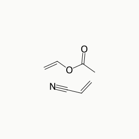 C=CC#N.C=COC(C)=O